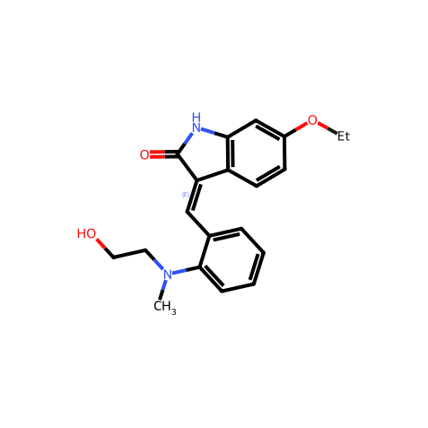 CCOc1ccc2c(c1)NC(=O)/C2=C/c1ccccc1N(C)CCO